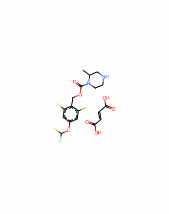 CC1CNCCN1C(=O)OCc1c(F)cc(OC(F)F)cc1F.O=C(O)C=CC(=O)O